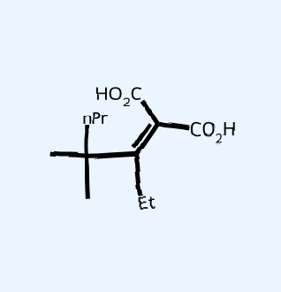 CCCC(C)(C)C(CC)=C(C(=O)O)C(=O)O